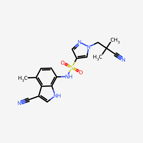 Cc1ccc(NS(=O)(=O)c2cnn(CC(C)(C)C#N)c2)c2[nH]cc(C#N)c12